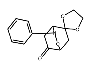 O=C1CC2N(c3ccccc3)OC1CC21OCCO1